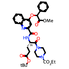 CCOC(=O)N1CCN(C(=O)[C@H](CCC(=O)OC(C)(C)C)NC(=O)c2cc(OC(C(=O)OC)c3ccccc3)c3ccccc3n2)CC1